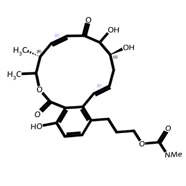 CNC(=O)OCCCc1ccc(O)c2c1/C=C/C[C@H](O)C(O)C(=O)/C=C\[C@@H](C)C(C)OC2=O